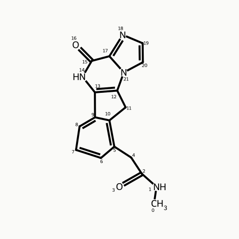 CNC(=O)Cc1cccc2c1Cc1c-2[nH]c(=O)c2nccn12